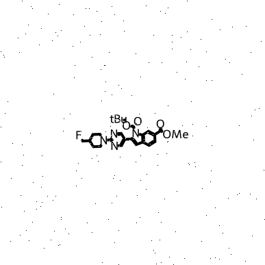 COC(=O)c1ccc2cc(-c3cnc(N4CCC(CF)CC4)nc3)n(C(=O)OC(C)(C)C)c2c1